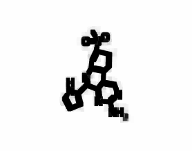 CS(=O)(=O)c1ccc2c(c1)nc(-c1ccc[nH]1)c1nc(N)ncc12